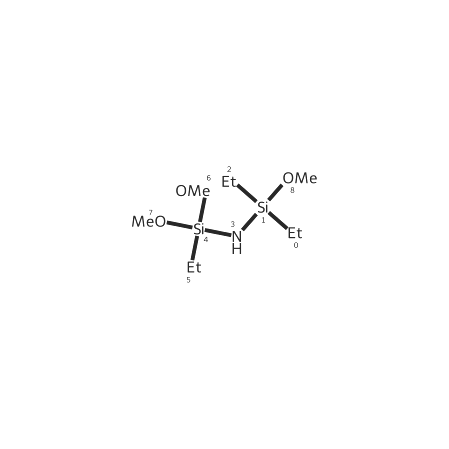 CC[Si](CC)(N[Si](CC)(OC)OC)OC